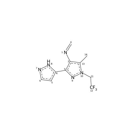 C=Nc1c(-c2ccn[nH]2)nn(CC(F)(F)F)c1C